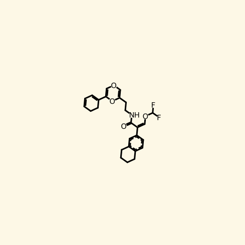 O=C(NCCC1=COC=C(C2=CC=CCC2)O1)C(=COC(F)F)c1ccc2c(c1)CCCC2